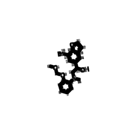 COCOc1ccccc1N(C)CC(O)c1cc(Br)c2occc2c1